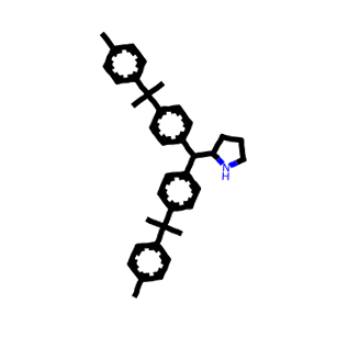 Cc1ccc(C(C)(C)c2ccc(C(c3ccc(C(C)(C)c4ccc(C)cc4)cc3)C3CCCN3)cc2)cc1